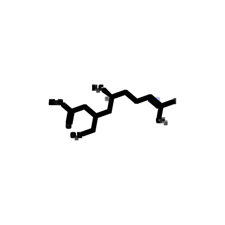 COC(=O)CC(C[C@@H](C)CC/C=C(\C)I)C[N+](=O)[O-]